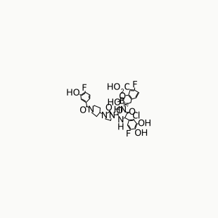 O=C(O)c1c(F)ccc2c1OB(O)[C@@H](NC(=O)C(NC(=O)N1CCN(C3CCN(C(=O)c4ccc(F)c(O)c4)CC3)C1=O)c1cc(F)c(O)c(O)c1Cl)C2